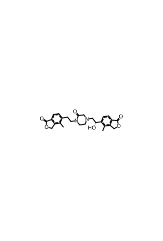 Cc1c(CCN2CCN(C[C@@H](O)c3ccc4c(c3C)COC4=O)CC2=O)ccc2c1COC2=O